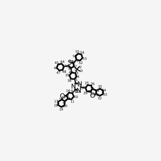 CC1(C)c2cc(-c3nc(-c4ccc5c(c4)oc4ccccc45)nc(-c4ccc5c(c4)oc4ccccc45)n3)ccc2-c2c(-c3ccccc3)sc(-c3ccccc3)c21